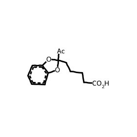 CC(=O)C1(CCCCC(=O)O)Oc2ccccc2O1